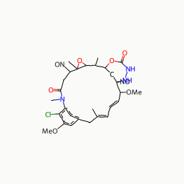 COc1cc2cc(c1Cl)N(C)C(=O)CC(N=O)C1(C)OC1C(C)C1CC(N=O)(NNC(=O)O1)C(OC)/C=C/C=C(\C)C2